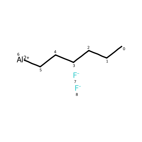 CCCCC[CH2][Al+2].[F-].[F-]